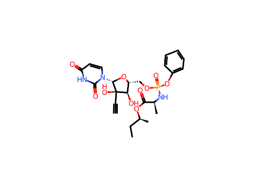 C#C[C@@]1(O)[C@H](O)[C@@H](COP(=O)(N[C@@H](C)C(=O)O[C@@H](C)CC)Oc2ccccc2)O[C@H]1n1ccc(=O)[nH]c1=O